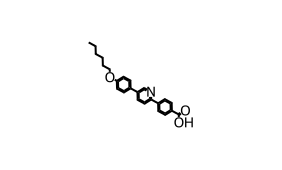 CCCCCCOc1ccc(-c2ccc(-c3ccc(C(=O)O)cc3)nc2)cc1